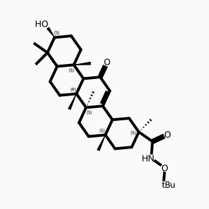 CC(C)(C)ONC(=O)[C@@]1(C)CC[C@]2(C)CC[C@]3(C)C(=CC(=O)C4[C@@]5(C)CC[C@H](O)C(C)(C)C5CC[C@]43C)C2C1